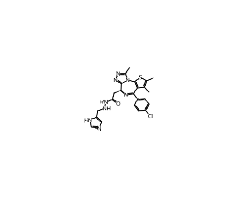 Cc1sc2c(c1C)C(c1ccc(Cl)cc1)=N[C@@H](CC(=O)NNCc1cnc[nH]1)c1nnc(C)n1-2